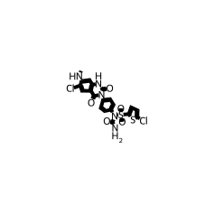 CNc1cc2[nH]c(=O)n(-c3ccc(N(C(N)=O)S(=O)(=O)c4ccc(Cl)s4)cc3)c(=O)c2cc1Cl